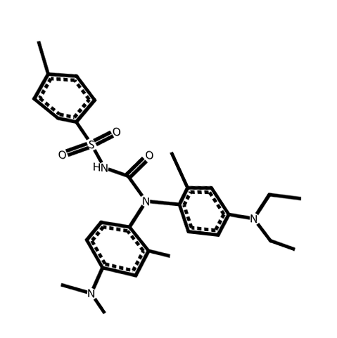 CCN(CC)c1ccc(N(C(=O)NS(=O)(=O)c2ccc(C)cc2)c2ccc(N(C)C)cc2C)c(C)c1